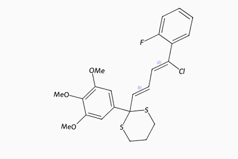 COc1cc(C2(/C=C/C=C(\Cl)c3ccccc3F)SCCCS2)cc(OC)c1OC